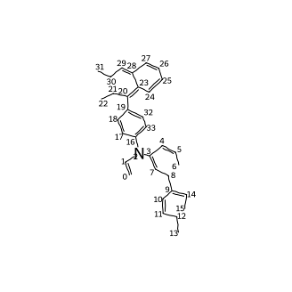 C=CN(C(/C=C\C)=C/CC(/C=C\CC)=C/C)c1ccc(/C(CC)=c2\cccc\c2=C\CC)cc1